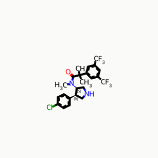 CN(C(=O)C(C)(C)c1cc(C(F)(F)F)cc(C(F)(F)F)c1)[C@@H]1CNC[C@H]1c1ccc(Cl)cc1